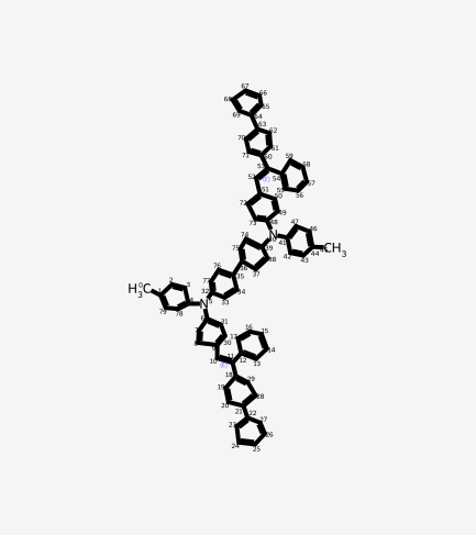 Cc1ccc(N(c2ccc(/C=C(\c3ccccc3)c3ccc(-c4ccccc4)cc3)cc2)c2ccc(-c3ccc(N(c4ccc(C)cc4)c4ccc(/C=C(\c5ccccc5)c5ccc(-c6ccccc6)cc5)cc4)cc3)cc2)cc1